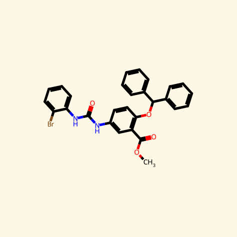 COC(=O)c1cc(NC(=O)Nc2ccccc2Br)ccc1OC(c1ccccc1)c1ccccc1